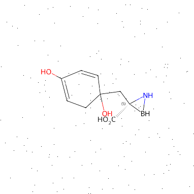 O=C(O)[C@@]1(CC2(O)C=CC(O)=CC2)BN1